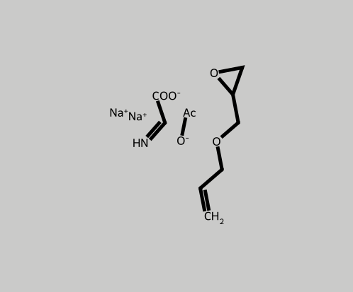 C=CCOCC1CO1.CC(=O)[O-].N=CC(=O)[O-].[Na+].[Na+]